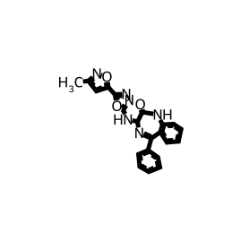 Cc1cc(-c2nnc(NC3N=C(c4ccccc4)c4ccccc4NC3=O)o2)on1